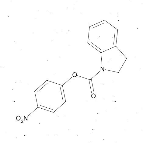 O=C(Oc1ccc([N+](=O)[O-])cc1)N1CCc2ccccc21